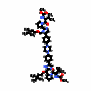 COC(=O)NC(C(=O)N1CCCC1c1ncc(-c2ccc(N3CCN(c4ccc(-c5cnc(C(OCC[Si](C)(C)C)C6CCCN6C(=O)C(NC(=O)OC)C(C)C)[nH]5)cc4)CC3)cc2)n1COCC[Si](C)(C)C)C(C)C